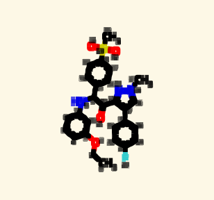 CCOc1cccc(NC(C(=O)c2nn(C)cc2-c2ccc(F)cc2)c2ccc(S(C)(=O)=O)cc2)c1